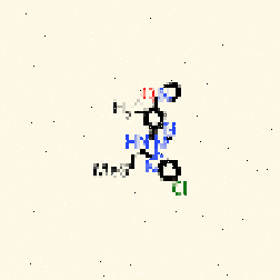 CSCC[C@H](Nc1ncnc2cc(C(=O)N3CC=CC3)c(C)cc12)c1nc2cc(Cl)ccc2[nH]1